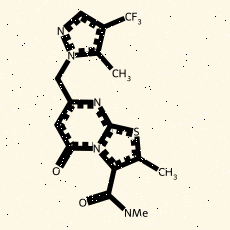 CNC(=O)c1c(C)sc2nc(Cn3ncc(C(F)(F)F)c3C)cc(=O)n12